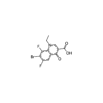 CCn1cc(C(=O)O)c(=O)c2cc(F)c(Br)c(F)c21